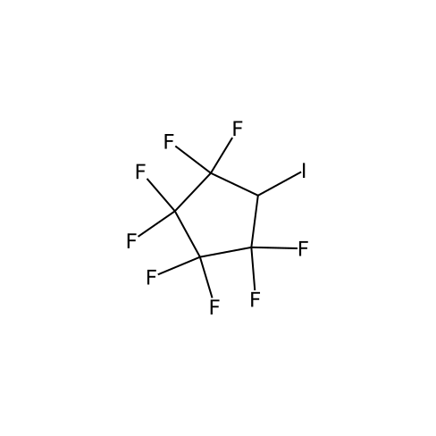 FC1(F)C(I)C(F)(F)C(F)(F)C1(F)F